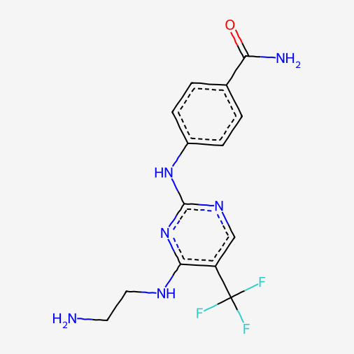 NCCNc1nc(Nc2ccc(C(N)=O)cc2)ncc1C(F)(F)F